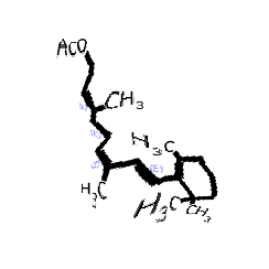 CC(=O)OC/C=C(C)/C=C/C=C(C)\C=C\C1=C(C)CCCC1(C)C